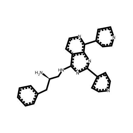 N[C@@H](CNc1nc(-c2ccncc2)nc2c(-c3ccncc3)nccc12)Cc1ccccc1